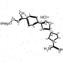 CCCCCCCON=C(C)c1ccc(-c2noc([C@@H]3CCN(C(=N)N)C3)n2)cc1.Cl